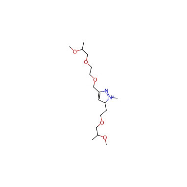 COC(C)COCCOCC1=CC(CCOCC(C)OC)[N+](C)=N1